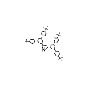 CC(C)(C)c1ccc(-c2cc(-c3ccc(C(C)(C)C)cc3)cc(-c3cncc(-c4cc(-c5ccc(C(C)(C)C)cc5)cc(-c5ccc(C(C)(C)C)cc5)c4)c3)c2)cc1